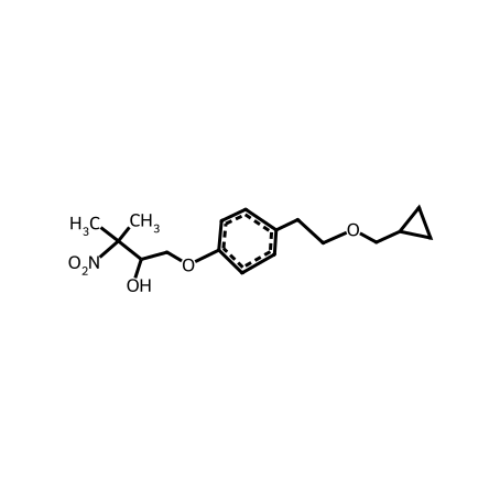 CC(C)(C(O)COc1ccc(CCOCC2CC2)cc1)[N+](=O)[O-]